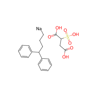 O=C(O)CC(C(=O)O)S(=O)(=O)O.[Na][CH2]CCC(c1ccccc1)c1ccccc1